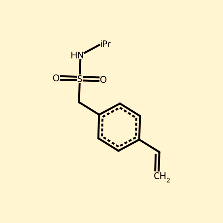 C=Cc1ccc(CS(=O)(=O)NC(C)C)cc1